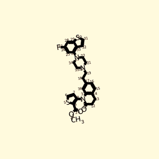 COC(=O)c1sccc1N1C(=O)CCc2ccc(CCN3CCN(c4cc(F)cc5sccc45)CC3)cc21